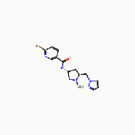 O=C(N[C@@H]1C[C@@H](Cn2cccn2)N(C(=O)O)C1)c1ccc(Br)nc1